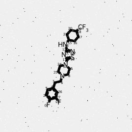 Fc1ccc(CCN2CCN(c3nc(NC4CCC(C(F)(F)F)CC4)ns3)CC2)cc1F